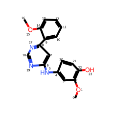 COc1cc(Nc2cc(-c3ccccc3OC)ncn2)ccc1O